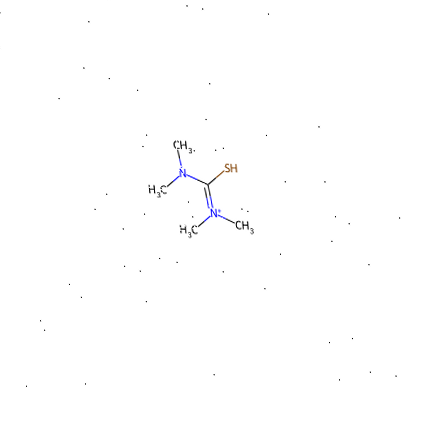 CN(C)C(S)=[N+](C)C